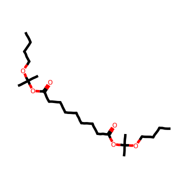 CCCCOC(C)(C)OC(=O)CCCCCCCC(=O)OC(C)(C)OCCCC